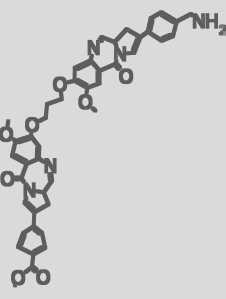 COC(=O)c1ccc(C2=CN3C(=O)c4cc(OC)c(OCCCOc5cc6c(cc5OC)C(=O)N5C=C(c7ccc(CN)cc7)CC5C=N6)cc4N=CC3C2)cc1